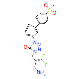 CS(=O)(=O)c1ccc(-c2cccc(-n3nnn(CC(CN)=C(F)F)c3=O)c2)cc1